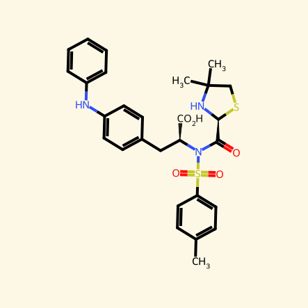 Cc1ccc(S(=O)(=O)N(C(=O)[C@H]2NC(C)(C)CS2)[C@@H](Cc2ccc(Nc3ccccc3)cc2)C(=O)O)cc1